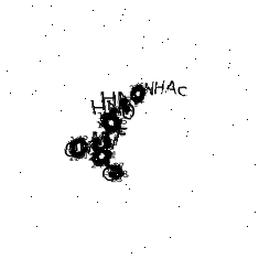 CC(=O)Nc1ccc(NC(=O)Nc2ccc(-c3nc(N4CCOCC4)c4ccc(-c5ccco5)cc4n3)c(F)c2)cc1